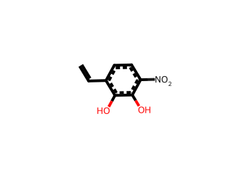 C=Cc1ccc([N+](=O)[O-])c(O)c1O